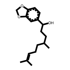 CC(C)=CCCC(C)CCC(O)c1ccc2c(c1)OCO2